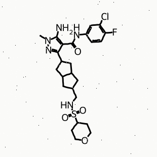 Cn1nc(C2CC3CC(CNS(=O)(=O)C4CCOCC4)CC3C2)c(C(=O)Nc2ccc(F)c(Cl)c2)c1N